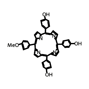 COc1ccc(C2=C3C=CC(=N3)C(c3ccc(O)cc3)=C3C=CC(=N3)C(c3ccc(O)cc3)=C3C=CC(=N3)C(c3ccc(O)cc3)=C3C=CC2=N3)cc1